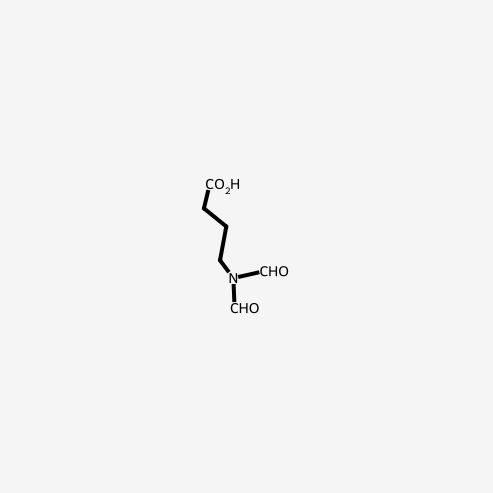 O=CN(C=O)CCCC(=O)O